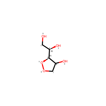 OC[C@@H](O)[C@@H]1OOCC1O